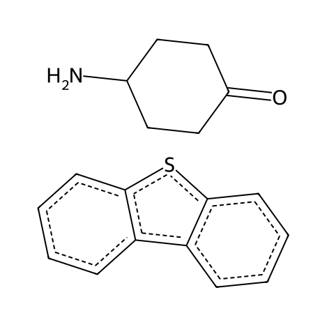 NC1CCC(=O)CC1.c1ccc2c(c1)sc1ccccc12